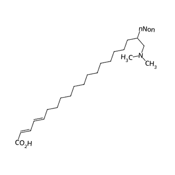 CCCCCCCCCC(CCCCCCCCCCCCCC=CC=CC(=O)O)CN(C)C